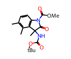 COC(=O)N1C(=O)C(C)(NC(=O)OC(C)(C)C)c2c1ccc(C)c2C